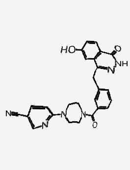 N#Cc1ccc(N2CCN(C(=O)c3cccc(Cc4n[nH]c(=O)c5ccc(O)cc45)c3)CC2)nc1